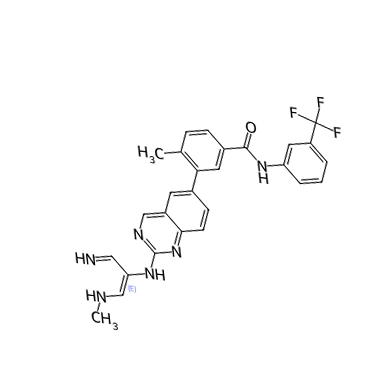 CN/C=C(\C=N)Nc1ncc2cc(-c3cc(C(=O)Nc4cccc(C(F)(F)F)c4)ccc3C)ccc2n1